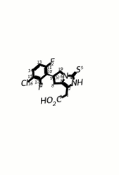 O=C(O)Cc1[nH]c(=S)n2c1C[C@@H](c1c(F)ccc(Cl)c1F)C2